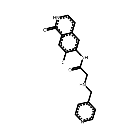 O=C(CNCc1ccncc1)Nc1cc2cc[nH]c(=O)c2cc1Cl